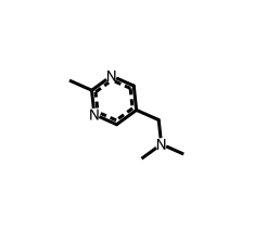 Cc1ncc(CN(C)C)cn1